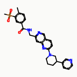 Cc1ccc(C(=O)NCc2cc3nc(N4CCCC(c5cccnc5)C4)ccc3cn2)cc1S(C)(=O)=O